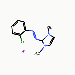 CN1C=CN(C)C1/N=N/c1ccccc1Cl.I